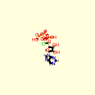 O=P(O)(O)OP(=O)(O)OP(=O)(O)OC(Cl)[C@H]1O[C@@H](n2cnc3cncnc32)[C@H](O)[C@@H]1O